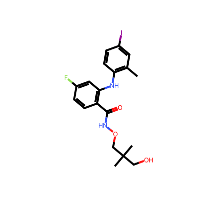 Cc1cc(I)ccc1Nc1cc(F)ccc1C(=O)NOCC(C)(C)CO